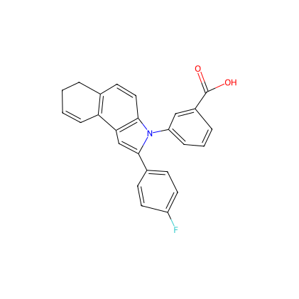 O=C(O)c1cccc(-n2c(-c3ccc(F)cc3)cc3c4c(ccc32)CCC=C4)c1